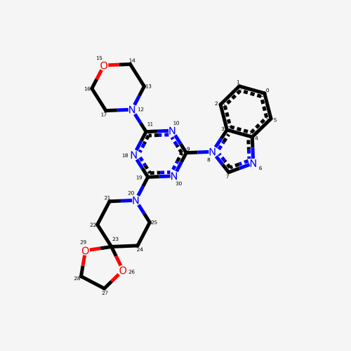 c1ccc2c(c1)ncn2-c1nc(N2CCOCC2)nc(N2CCC3(CC2)OCCO3)n1